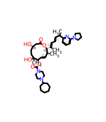 C/C(=C\C=C\C(C)c1cccc(N2CCCC2)n1)[C@H]1OC(=O)C[C@H](O)CC[C@@](C)(O)[C@@H](OC(=O)N2CCN(C3CCCCCC3)CC2)/C=C/[C@@H]1C